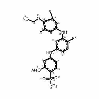 COc1cc(Nc2ncc(F)c(Nc3cc(C)c(OCC#N)c(C)c3)n2)ccc1S(N)(=O)=O